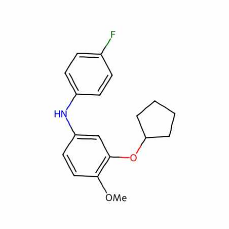 COc1ccc(Nc2ccc(F)cc2)cc1OC1CCCC1